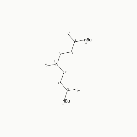 CCCCC(C)CCN(C)CCC(C)CCCC